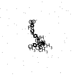 Cc1sc2c(c1C)C(c1ccc(Cl)cc1)=N[C@@H](CC(=O)Nc1ccc(CN3CCN(c4ccc([N+](=O)[O-])cc4F)CC3)cc1)c1nnc(C)n1-2